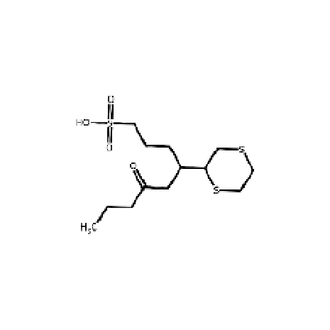 CCCC(=O)CC(CCCS(=O)(=O)O)C1CSCCS1